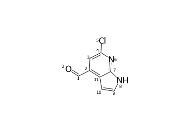 O=Cc1cc(Cl)nc2[nH]ccc12